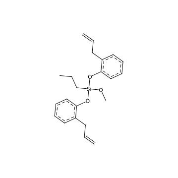 C=CCc1ccccc1O[Si](CCC)(OC)Oc1ccccc1CC=C